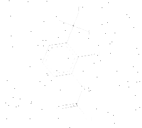 O=C(O)Nc1cccc(C(F)(F)F)c1Cl